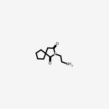 NCCN1C(=O)CC2(CCCC2)C1=O